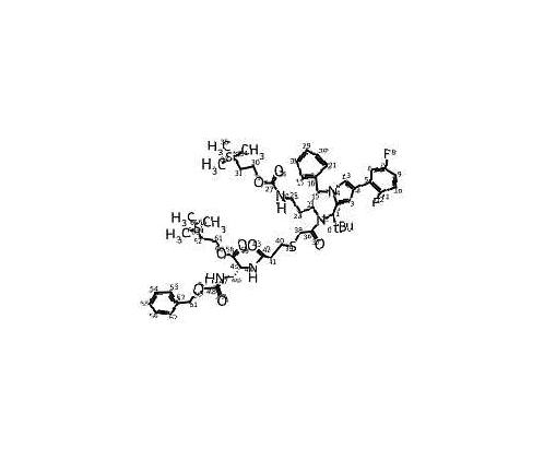 CC(C)(C)[C@H](c1cc(-c2cc(F)ccc2F)cn1Cc1ccccc1)N(CCCNC(=O)OCC[Si](C)(C)C)C(=O)CSCCC(=O)N[C@H](CNC(=O)OCc1ccccc1)C(=O)OCC[Si](C)(C)C